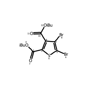 CC(C)COC(=O)c1sc(Br)c(Br)c1C(=O)OCC(C)C